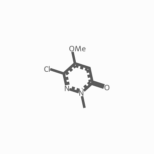 COc1cc(=O)n(C)nc1Cl